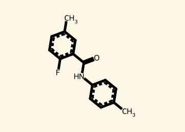 Cc1ccc(NC(=O)c2cc(C)ccc2F)cc1